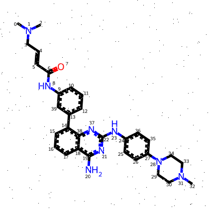 CN(C)CC=CC(=O)Nc1cccc(-c2cccc3c(N)nc(Nc4ccc(N5CCN(C)CC5)cc4)nc23)c1